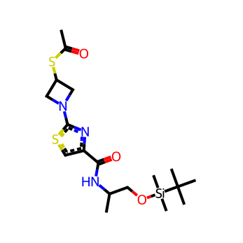 CC(=O)SC1CN(c2nc(C(=O)NC(C)CO[Si](C)(C)C(C)(C)C)cs2)C1